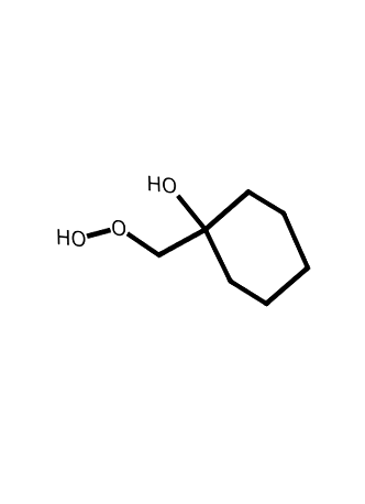 OOCC1(O)CCCCC1